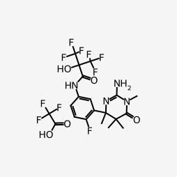 CN1C(=O)C(C)(C)C(C)(c2cc(NC(=O)C(O)(C(F)(F)F)C(F)(F)F)ccc2F)N=C1N.O=C(O)C(F)(F)F